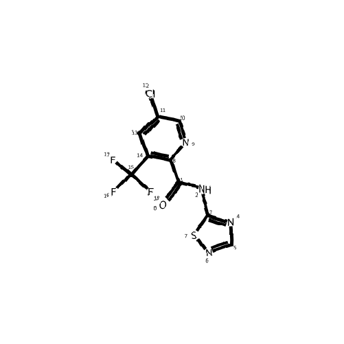 O=C(Nc1ncns1)c1ncc(Cl)cc1C(F)(F)F